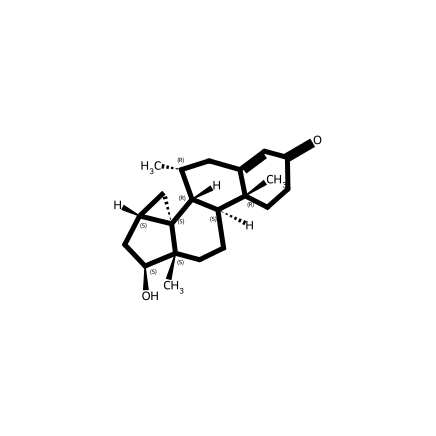 C[C@@H]1CC2=CC(=O)CC[C@]2(C)[C@H]2CC[C@]3(C)[C@@H](O)C[C@@H]4C[C@@]43[C@H]12